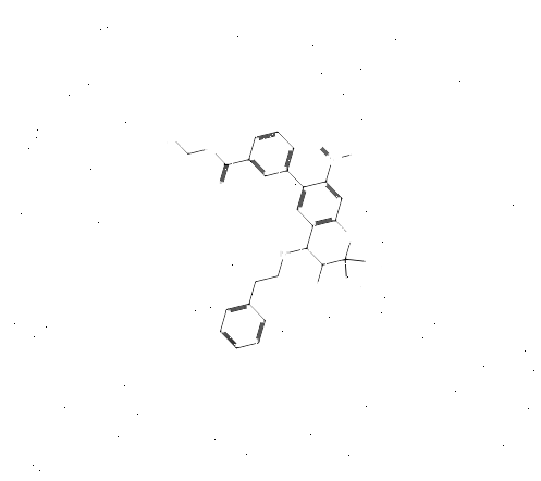 CCOC(=O)c1cccc(-c2cc3c(cc2[N+](=O)[O-])OC(C)(C)C(O)C3NCCc2ccccc2)c1